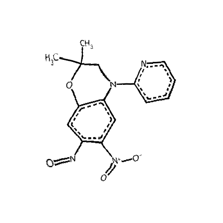 CC1(C)CN(c2ccccn2)c2cc([N+](=O)[O-])c(N=O)cc2O1